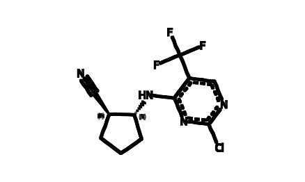 N#C[C@@H]1CCC[C@H]1Nc1nc(Cl)ncc1C(F)(F)F